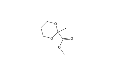 COC(=O)C1(C)OCCCO1